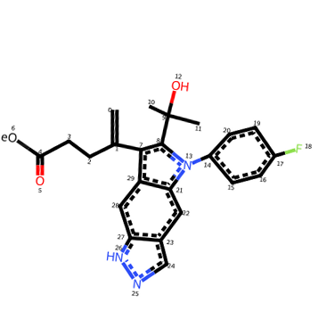 C=C(CCC(=O)OC)c1c(C(C)(C)O)n(-c2ccc(F)cc2)c2cc3cn[nH]c3cc12